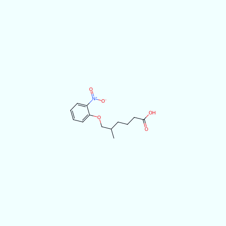 CC(CCCC(=O)O)COc1ccccc1[N+](=O)[O-]